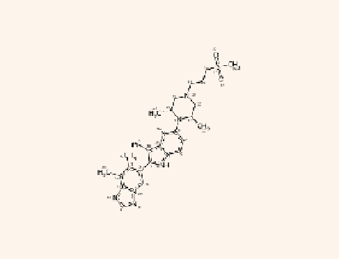 Cc1c(-c2[nH]c3ccc(N4[C@H](C)CN(CCCS(C)(=O)=O)C[C@H]4C)nc3c2C(C)C)cn2ncnc2c1C